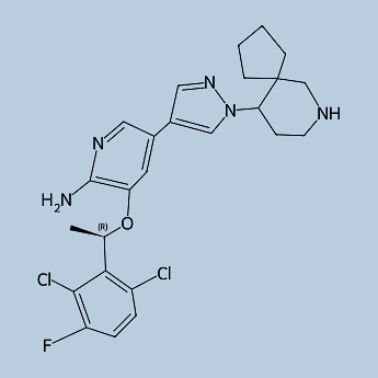 C[C@@H](Oc1cc(-c2cnn(C3CCNCC34CCCC4)c2)cnc1N)c1c(Cl)ccc(F)c1Cl